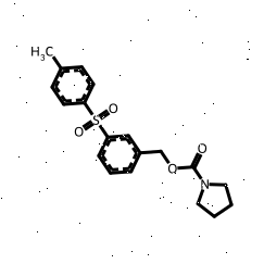 Cc1ccc(S(=O)(=O)c2cccc(COC(=O)N3CCCC3)c2)cc1